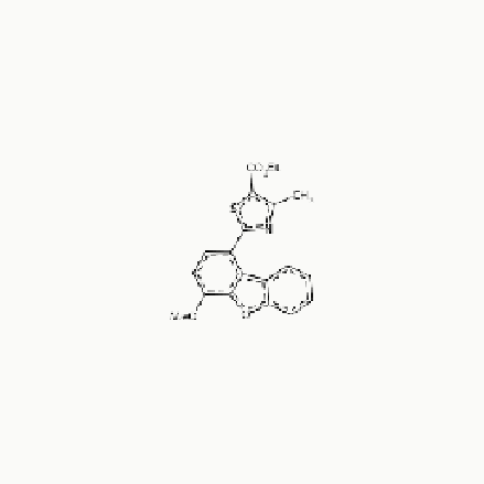 CCOC(=O)c1sc(-c2ccc(OC)c3oc4ccccc4c23)nc1C